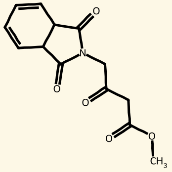 COC(=O)CC(=O)CN1C(=O)C2C=CC=CC2C1=O